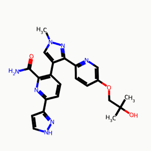 Cn1cc(-c2ccc(-c3cc[nH]n3)nc2C(N)=O)c(-c2ccc(OCC(C)(C)O)cn2)n1